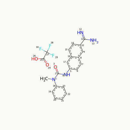 CN(C(=O)Nc1ccc2cc(C(=N)N)ccc2c1)c1ccccc1.O=C(O)C(F)(F)F